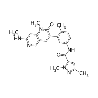 CNc1cc2c(cn1)cc(-c1cc(NC(=O)c3cc(C)nn3C)ccc1C)c(=O)n2C